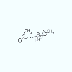 CCCSC(=CCCCCCN[PH](=O)Oc1ccc(C)nc1)c1ccccc1